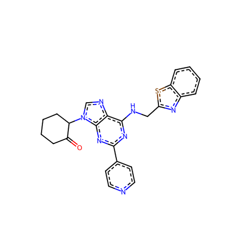 O=C1CCCCC1n1cnc2c(NCc3nc4ccccc4s3)nc(-c3ccncc3)nc21